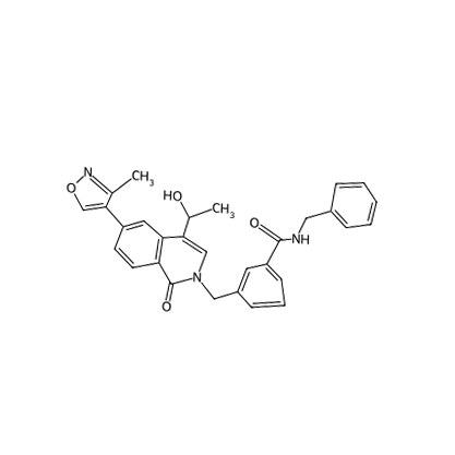 Cc1nocc1-c1ccc2c(=O)n(Cc3cccc(C(=O)NCc4ccccc4)c3)cc(C(C)O)c2c1